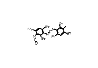 Cc1c(C(C)C)cc(C(C)C)c(N=C=Nc2c(C(C)C)cc(C(C)C)c(N=C=O)c2C(C)C)c1C(C)C